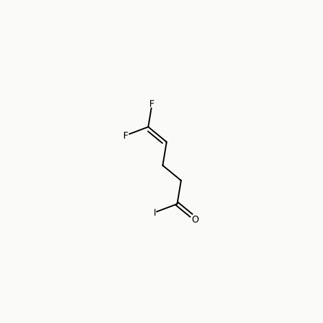 O=C(I)CCC=C(F)F